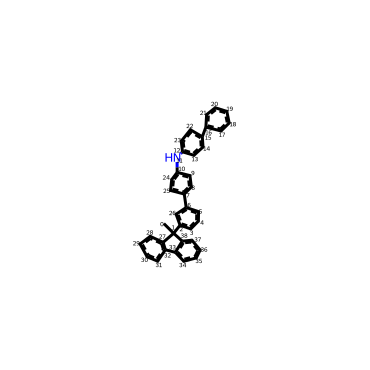 CC1(c2cccc(-c3ccc(Nc4ccc(-c5ccccc5)cc4)cc3)c2)c2ccccc2-c2ccccc21